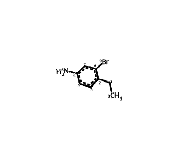 C[CH]c1ccc(N)cc1Br